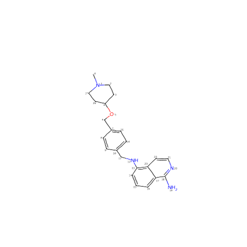 CN1CCC(OCc2ccc(CNc3cccc4c(N)nccc34)cc2)CC1